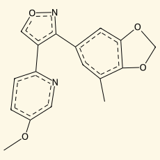 COc1ccc(-c2conc2-c2cc(C)c3c(c2)OCO3)nc1